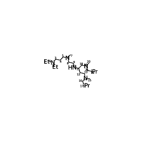 CCN(CC)CCCN(C)CCNC(CCN(C)CC(C)C)CN(C)CC(C)C